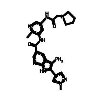 Cc1ncc(NC(=O)CN2CCCC2)cc1NC(=O)c1cnc2[nH]c(-c3cnn(C)c3)c(P)c2c1